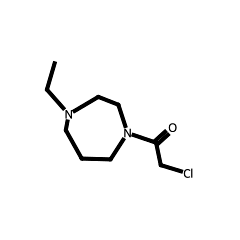 CCN1CCCN(C(=O)CCl)CC1